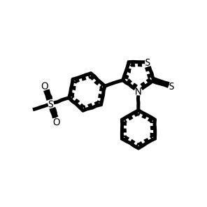 CS(=O)(=O)c1ccc(-c2csc(=S)n2-c2ccccc2)cc1